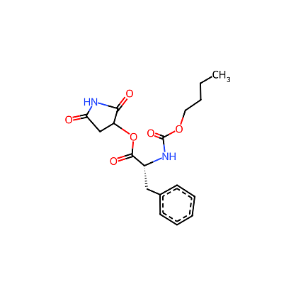 CCCCOC(=O)N[C@H](Cc1ccccc1)C(=O)OC1CC(=O)NC1=O